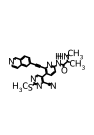 CNC(C)C(=O)Nc1ccc(-c2cnc(SC)nc2C#N)c(C#Cc2ccc3cnccc3c2)n1